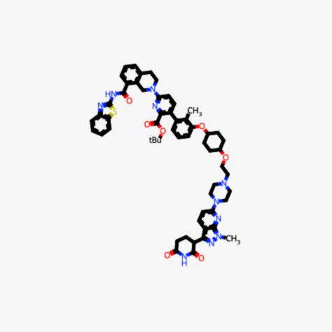 Cc1c(OC2CCC(OCCN3CCN(c4ccc5c(C6CCC(=O)NC6=O)nn(C)c5n4)CC3)CC2)cccc1-c1ccc(N2CCc3cccc(C(=O)Nc4nc5ccccc5s4)c3C2)nc1C(=O)OC(C)(C)C